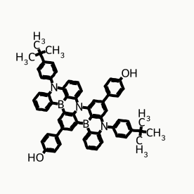 CC(C)(C)c1ccc(N2c3ccccc3B3c4cc(-c5ccc(O)cc5)cc5c4N(c4cccc2c43)c2cc(-c3ccc(O)cc3)cc3c2B5c2ccccc2N3c2ccc(C(C)(C)C)cc2)cc1